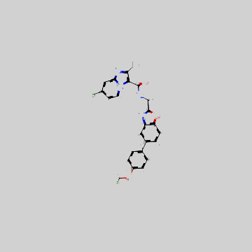 CCc1nc2cc(Cl)ccn2c1C(=O)NCc1nc2cc(-c3ccc(OCF)cc3)ccc2o1